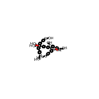 NCCOc1ccc(-c2ccc(OCCO)c(C(c3ccc(-c4ccc(C(c5cc(-c6ccc(OCCO)cc6)ccc5OCCO)c5cc(-c6ccc(OCCO)cc6)ccc5OCCO)cc4)cc3)c3cc(-c4ccc(OCCO)cc4)ccc3OCCO)c2)cc1